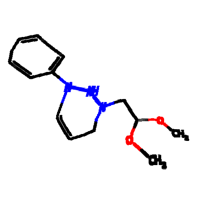 COC(CN1CC=CN(c2ccccc2)N1)OC